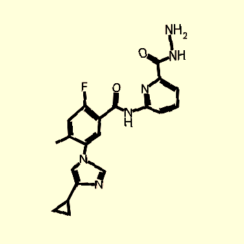 Cc1cc(F)c(C(=O)Nc2cccc(C(=O)NN)n2)cc1-n1cnc(C2CC2)c1